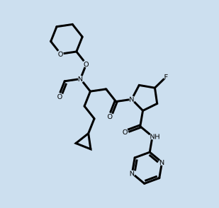 O=CN(OC1CCCCO1)C(CCC1CC1)CC(=O)N1CC(F)CC1C(=O)Nc1cnccn1